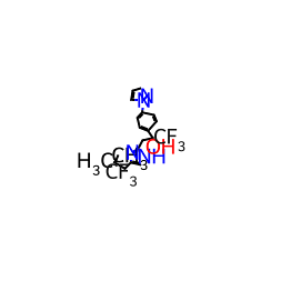 CC(C)(Cc1c[nH]c(CC(O)(c2ccc(-n3cccn3)cc2)C(F)(F)F)n1)C(F)(F)F